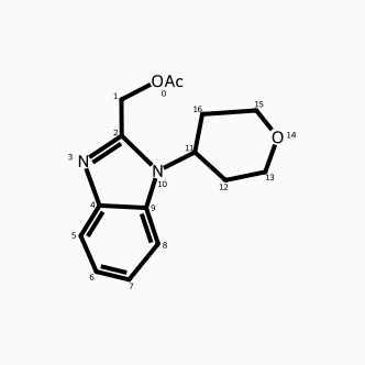 CC(=O)OCc1nc2ccccc2n1C1CCOCC1